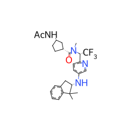 CC(=O)N[C@H]1CC[C@@H](C(=O)N(C)[C@@H](c2ccc(N[C@H]3Cc4ccccc4C3(C)C)cn2)C(F)(F)F)C1